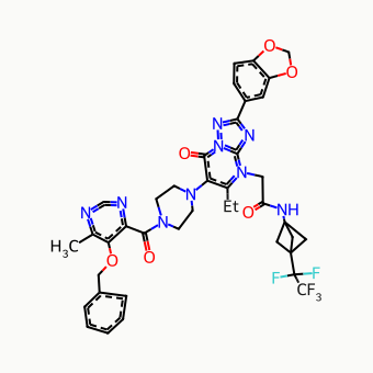 CCc1c(N2CCN(C(=O)c3ncnc(C)c3OCc3ccccc3)CC2)c(=O)n2nc(-c3ccc4c(c3)OCO4)nc2n1CC(=O)NC12CC(C(F)(F)C(F)(F)F)(C1)C2